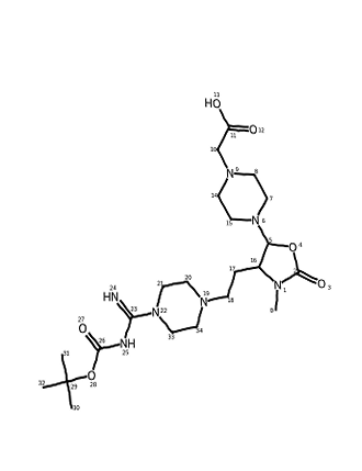 CN1C(=O)OC(N2CCN(CC(=O)O)CC2)C1CCN1CCN(C(=N)NC(=O)OC(C)(C)C)CC1